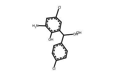 Cl.Nc1cc(Cl)cc(C(O)c2ccc(Cl)cc2)c1O